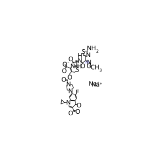 CO/N=C(\C(=O)N[C@@H]1C(=O)N2C(C(=O)[O-])=C(COC(=O)N3CCN(c4cc5c(cc4F)c(=O)c(C(=O)[O-])cn5C4CC4)CC3)CS[C@H]12)c1csc(N)n1.[Na+].[Na+]